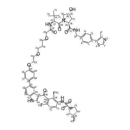 Cc1ncsc1-c1ccc(CNC(=O)[C@@H]2C[C@@H](O)CN2C(=O)[C@@H](NC(=O)COCCCOCCOc2ccc(-c3cnc4[nH]cc(C(=O)c5c(F)ccc(NS(=O)(=O)N6CC[C@@H](F)C6)c5F)c4c3)cc2)C(C)(C)C)cc1